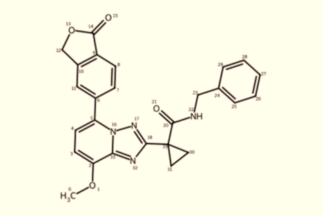 COc1ccc(-c2ccc3c(c2)COC3=O)n2nc(C3(C(=O)NCc4ccccc4)CC3)nc12